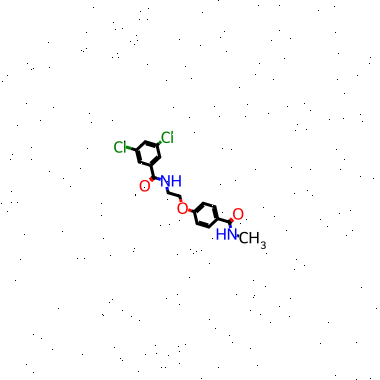 CNC(=O)c1ccc(OCCNC(=O)c2cc(Cl)cc(Cl)c2)cc1